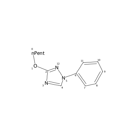 CCCCCOc1ncn(-c2ccccc2)n1